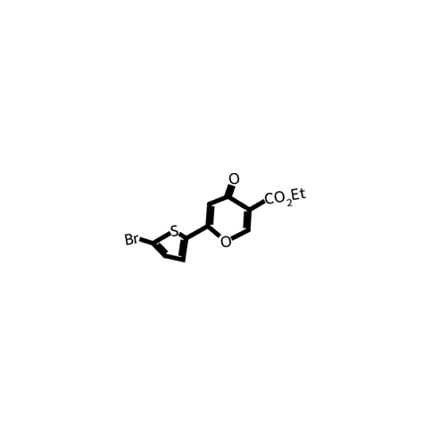 CCOC(=O)c1coc(-c2ccc(Br)s2)cc1=O